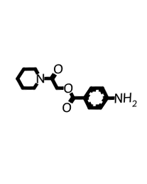 Nc1ccc(C(=O)OCC(=O)N2CCCCC2)cc1